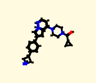 O=C(C1CC1)N1CCN(c2ccnn3cc(-c4ccc(C5CNC5)cc4)cc23)CC1